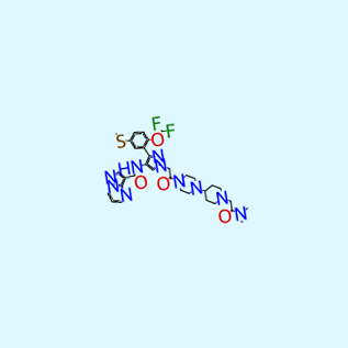 CSc1ccc(OC(F)F)c(-c2nn(CC(=O)N3CCN(C4CCN(CC(=O)N(C)C)CC4)CC3)cc2NC(=O)c2cnn3cccnc23)c1